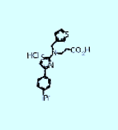 CC(C)c1ccc(-c2csc(N(CCC(=O)O)Cc3ccsc3)n2)cc1.Cl